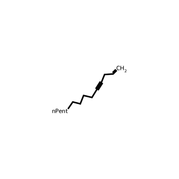 C=CCC#CCCCCCCCCC